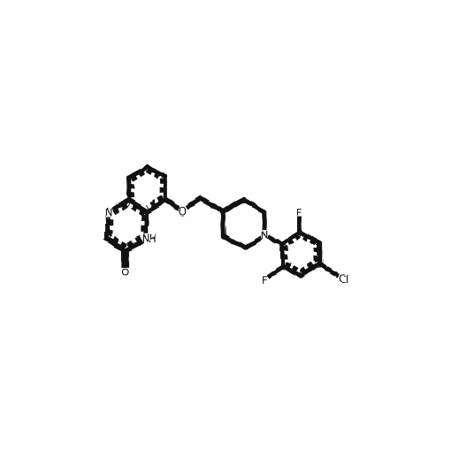 O=c1cnc2cccc(OCC3CCN(c4c(F)cc(Cl)cc4F)CC3)c2[nH]1